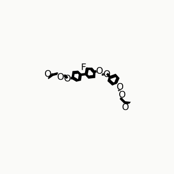 Fc1cc(OCOc2ccc(OCOCC3CO3)cc2)ccc1-c1ccc(OCOCC2CO2)cc1